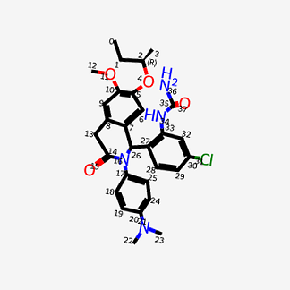 CC[C@@H](C)Oc1cc2c(cc1OC)CC(=O)N(c1ccc(N(C)C)cc1)C2c1ccc(Cl)cc1NC(N)=O